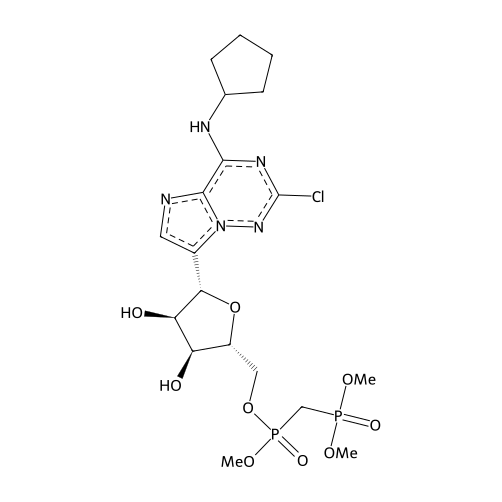 COP(=O)(CP(=O)(OC)OC[C@H]1O[C@@H](c2cnc3c(NC4CCCC4)nc(Cl)nn23)[C@H](O)[C@@H]1O)OC